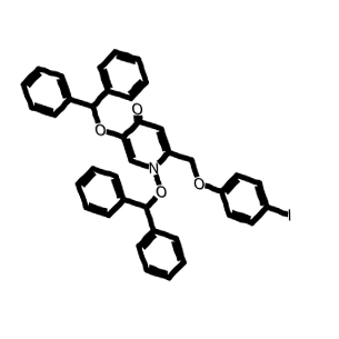 O=c1cc(COc2ccc(I)cc2)n(OC(c2ccccc2)c2ccccc2)cc1OC(c1ccccc1)c1ccccc1